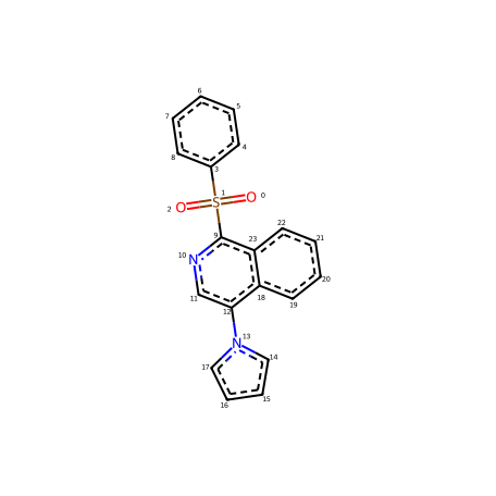 O=S(=O)(c1ccccc1)c1ncc(-n2cccc2)c2ccccc12